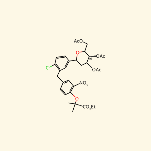 CCOC(=O)C(C)(C)Oc1ccc(Cc2cc(C3CC(OC(C)=O)[C@H](OC(C)=O)C(COC(C)=O)O3)ccc2Cl)cc1[N+](=O)[O-]